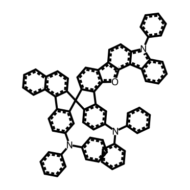 c1ccc(N(c2ccccc2)c2ccc3c(c2)-c2c(ccc4c2oc2c4ccc4c2c2ccccc2n4-c2ccccc2)C32c3cc(N(c4ccccc4)c4ccccc4)ccc3-c3c2ccc2ccccc32)cc1